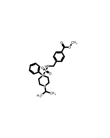 COC(=O)c1ccc(CNS(=O)(=O)[N+]2(c3ccccc3)CCN(C(C)C)CC2)cc1